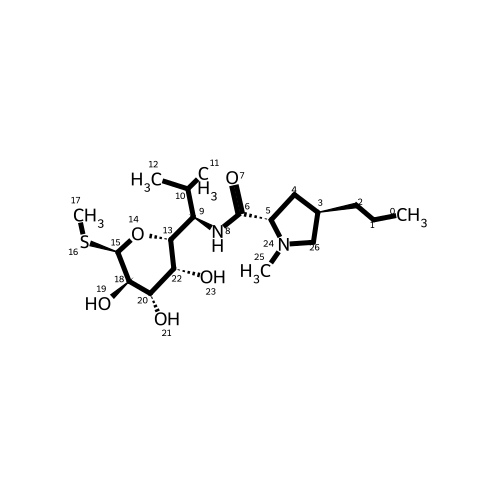 CCC[C@@H]1C[C@@H](C(=O)N[C@H](C(C)C)[C@H]2O[C@H](SC)[C@H](O)[C@@H](O)[C@H]2O)N(C)C1